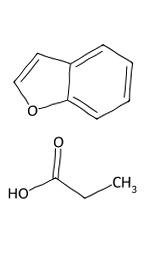 CCC(=O)O.c1ccc2occc2c1